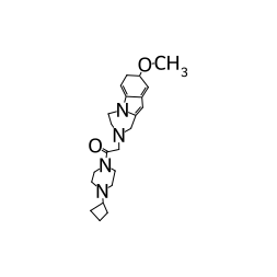 COC1C=c2cc3n(c2=CC1)CCN(CC(=O)N1CCN(C2CCC2)CC1)C3